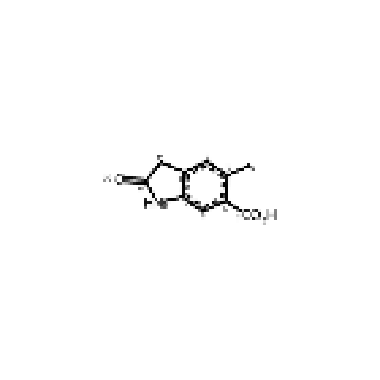 Cc1cc2c(cc1C(=O)O)NC(=O)C2